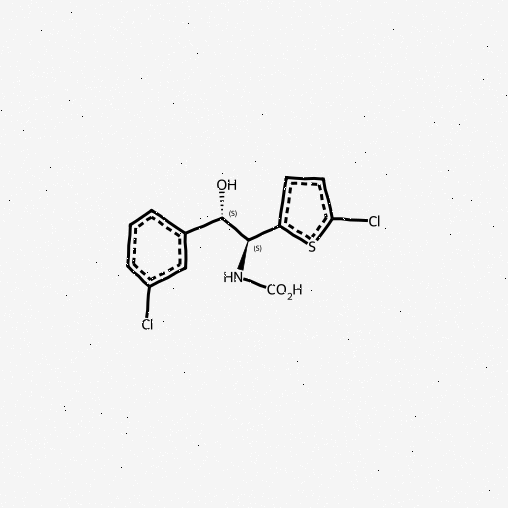 O=C(O)N[C@H](c1ccc(Cl)s1)[C@@H](O)c1cccc(Cl)c1